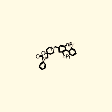 CCCc1cc(CN2CCC3(CC2)CN(c2ccccc2)C(=O)O3)cc(CCC)c1-c1ccccc1F